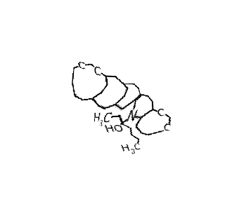 CCCCC(O)(CC)N1C2=C(CCC3CCC(CCC4CCCCCCCC(CC4)C3)C2)CCC2CCCCCCCC21